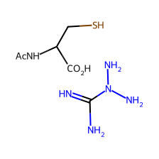 CC(=O)NC(CS)C(=O)O.N=C(N)N(N)N